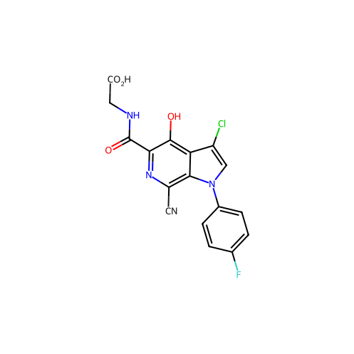 N#Cc1nc(C(=O)NCC(=O)O)c(O)c2c(Cl)cn(-c3ccc(F)cc3)c12